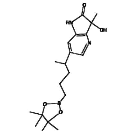 CC(CCCB1OC(C)(C)C(C)(C)O1)c1cnc2c(c1)NC(=O)C2(C)O